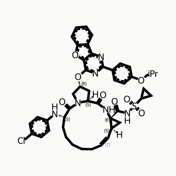 CC(C)Oc1ccc(-c2nc(O[C@@H]3C[C@H]4C(=O)N[C@]5(C(=O)NS(=O)(=O)C6CC6)C[C@H]5/C=C\CCCCC[C@H](Nc5ccc(Cl)cc5)C(=O)N4C3)c3oc4ccccc4c3n2)cc1